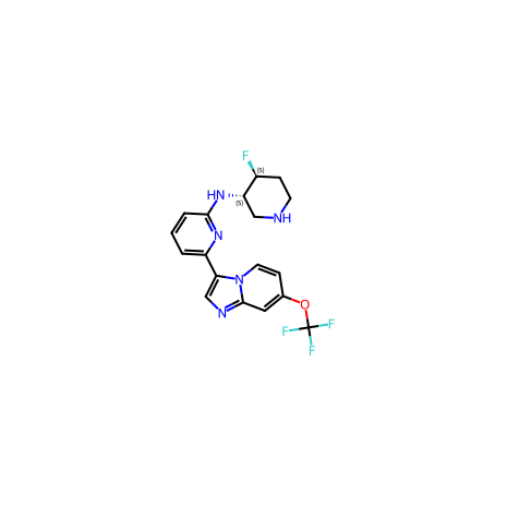 F[C@H]1CCNC[C@@H]1Nc1cccc(-c2cnc3cc(OC(F)(F)F)ccn23)n1